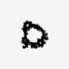 COc1ncc2cc1NS(=O)(=O)c1cccc(c1)C(=O)NCC1CCN(CC1)c1ncnc3cc-2sc13